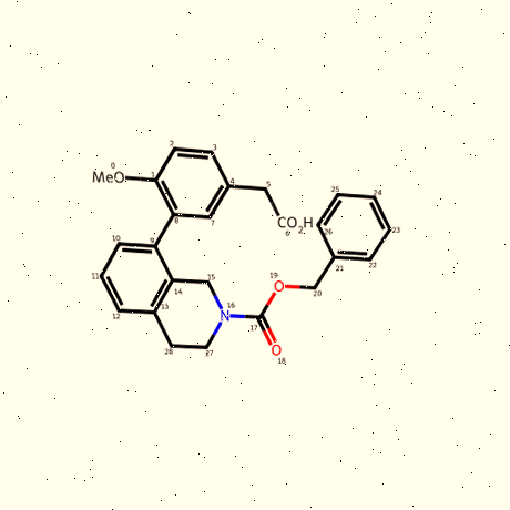 COc1ccc(CC(=O)O)cc1-c1cccc2c1CN(C(=O)OCc1ccccc1)CC2